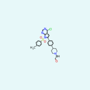 Cc1ccc(S(=O)(=O)n2c(-c3ccc(C4CCN(BC=O)CC4)cc3)cc3c(Cl)ncnc32)cc1